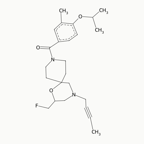 CC#CCN1CC(CF)OC2(CCN(C(=O)c3ccc(OC(C)C)c(C)c3)CC2)C1